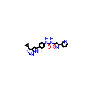 O=C(Nc1ccc(-c2cc3c(C4CC4)ncnc3[nH]2)cc1)Nc1cc(-c2cccnc2)no1